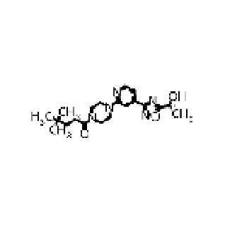 C[C@@H](O)c1nc(-c2ccnc(N3CCN(C(=O)CCC(C)(C)C)CC3)c2)no1